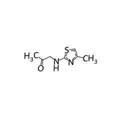 CC(=O)CNc1nc(C)cs1